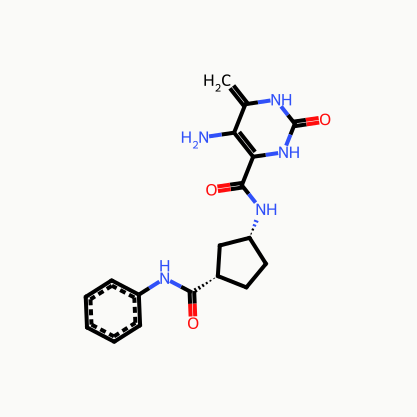 C=C1NC(=O)NC(C(=O)N[C@@H]2CC[C@H](C(=O)Nc3ccccc3)C2)=C1N